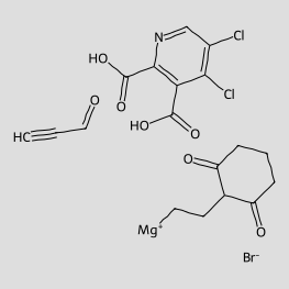 C#CC=O.O=C(O)c1ncc(Cl)c(Cl)c1C(=O)O.O=C1CCCC(=O)C1C[CH2][Mg+].[Br-]